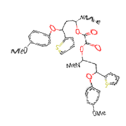 CNC(CC(Oc1ccc(OC)cc1)c1cccs1)OC(=O)C(=O)OC(CC(Oc1ccc(OC)cc1)c1cccs1)NC